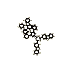 c1ccc(-c2cc(-c3nc(-c4ccc5c(c4)sc4ccccc45)nc(-c4ccc5c(c4)sc4ccccc45)n3)cc(-c3ccccc3)c2-n2c3ccccc3c3c2ccc2c4ccccc4n(-c4ccccc4)c23)cc1